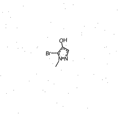 Cn1ncc(O)c1Br